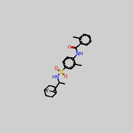 Cc1cc(S(=O)(=O)NC(C)C2CC3CCC2CC3)ccc1NC(=O)c1ccccc1C